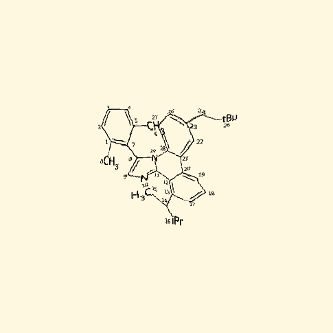 Cc1cccc(C)c1-c1cnc2c3c(C(C)C(C)C)cccc3c3cc(CC(C)(C)C)ccc3n12